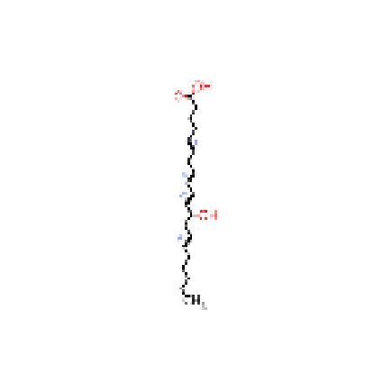 CCCCC/C=C/CC(O)/C=C/C=C/C/C=C/CCCC(=O)O